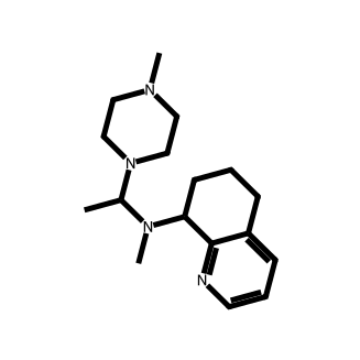 CC(N1CCN(C)CC1)N(C)C1CCCc2cccnc21